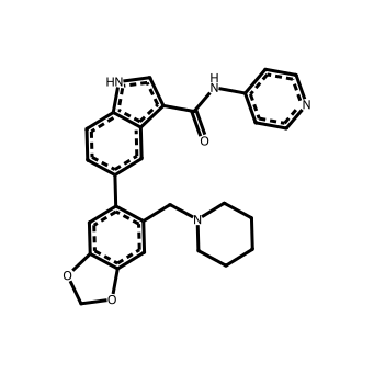 O=C(Nc1ccncc1)c1c[nH]c2ccc(-c3cc4c(cc3CN3CCCCC3)OCO4)cc12